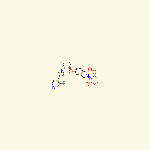 O=C1c2ccc(O[C@@H]3CCCC[C@@H]3N3CC(c4ccncc4F)C3)cc2CN1N1C(=O)CCCC1=O